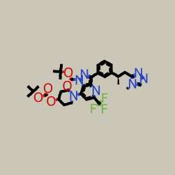 C[C@H](Cc1nncn1C)c1cccc(-c2nn(C(=O)OC(C)(C)C)c3c(N4CCC(OC(=O)OC(C)(C)C)CC4)cc(C(F)(F)F)nc23)c1